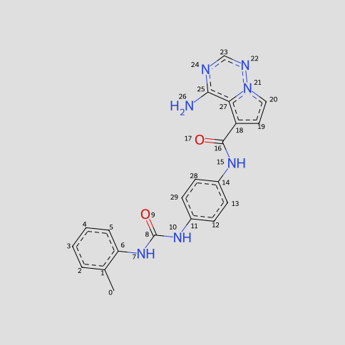 Cc1ccccc1NC(=O)Nc1ccc(NC(=O)c2ccn3ncnc(N)c23)cc1